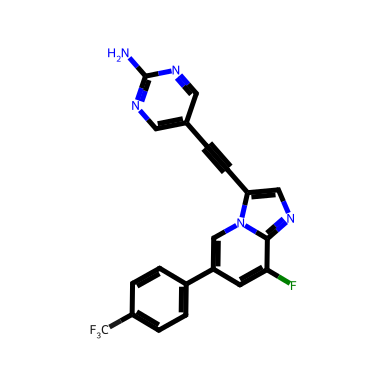 Nc1ncc(C#Cc2cnc3c(F)cc(-c4ccc(C(F)(F)F)cc4)cn23)cn1